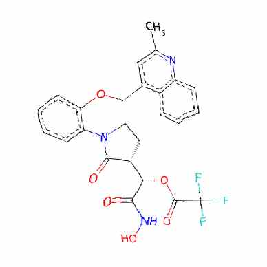 Cc1cc(COc2ccccc2N2CC[C@H]([C@H](OC(=O)C(F)(F)F)C(=O)NO)C2=O)c2ccccc2n1